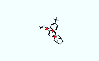 CC(C)=NOc1cc(C(F)(F)F)ccc1OC1CC2CC[C@@H](C1)N2c1ccc(C(F)(F)F)cn1